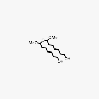 COC(CCC=CCCO)OC(CCC=CCCO)OC